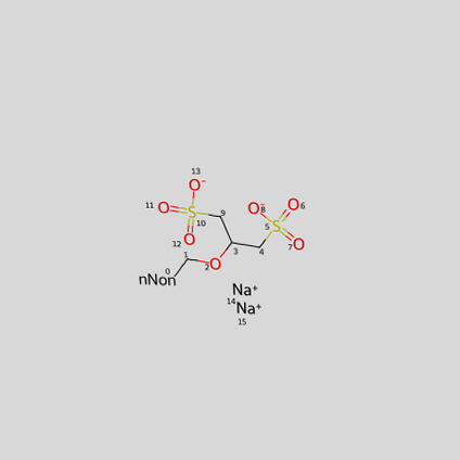 CCCCCCCCCCOC(CS(=O)(=O)[O-])CS(=O)(=O)[O-].[Na+].[Na+]